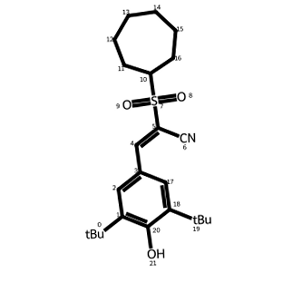 CC(C)(C)c1cc(C=C(C#N)S(=O)(=O)C2CCCCCC2)cc(C(C)(C)C)c1O